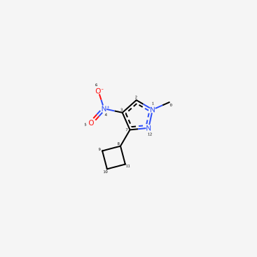 Cn1cc([N+](=O)[O-])c(C2CCC2)n1